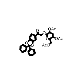 CC(=O)OCC1OC(OCC(=O)c2ccc3c(c2)OC(c2ccccc2)(c2ccccc2)O3)C(OC(C)=O)CC1OC(C)=O